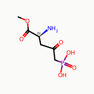 COC(=O)[C@@H](N)CC(=O)CP(=O)(O)O